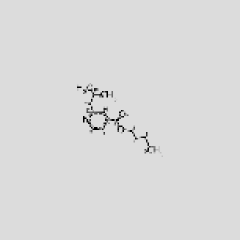 CCCCOC(=O)c1ccnc(CC(C)C)c1